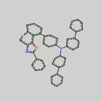 c1ccc(-c2ccc(N(c3ccc(-c4cccc5ccc6nc(-c7ccccc7)oc6c45)cc3)c3cccc(-c4ccccc4)c3)cc2)cc1